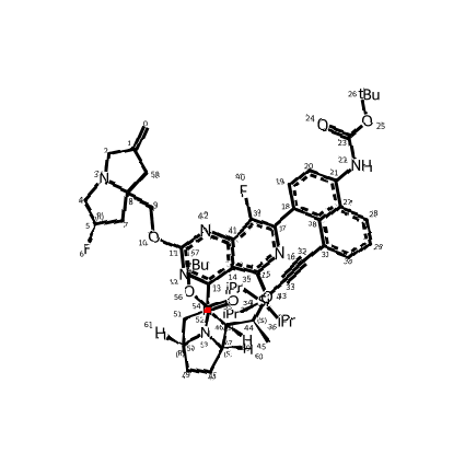 C=C1CN2C[C@H](F)CC2(COc2nc3c4c(nc(-c5ccc(NC(=O)OC(C)(C)C)c6cccc(C#C[Si](C(C)C)(C(C)C)C(C)C)c56)c(F)c4n2)O[C@@H](C)[C@@H]2[C@@H]4CC[C@H](CN32)N4C(=O)OC(C)(C)C)C1